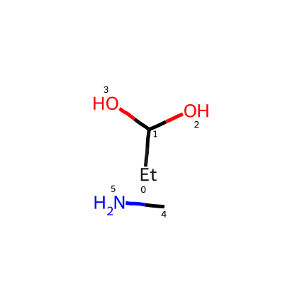 CCC(O)O.CN